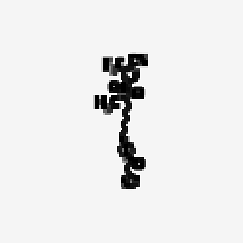 CC1=C(CCCCCCN2CCN(C(=O)Cc3cccs3)CC2)C(=O)N(c2ccc(C#N)c(C(F)(F)F)c2)C1=O